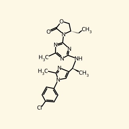 CC[C@H]1COC(=O)N1c1nc(C)nc(N[C@@H](C)c2cn(-c3ccc(Cl)cc3)c(C)n2)n1